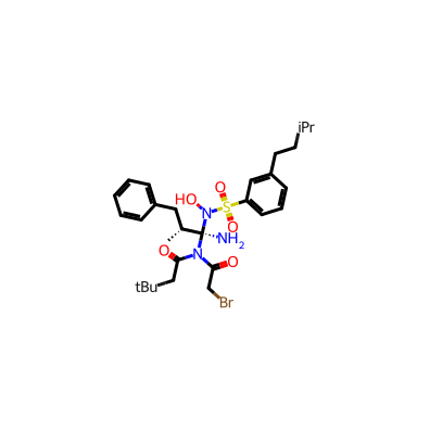 CC(C)CCc1cccc(S(=O)(=O)N(O)[C@](N)([C@H](C)Cc2ccccc2)N(C(=O)CBr)C(=O)CC(C)(C)C)c1